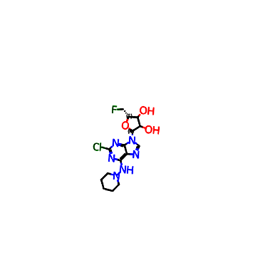 OC1C(O)[C@@H](CF)O[C@H]1n1cnc2c(NN3CCCCC3)nc(Cl)nc21